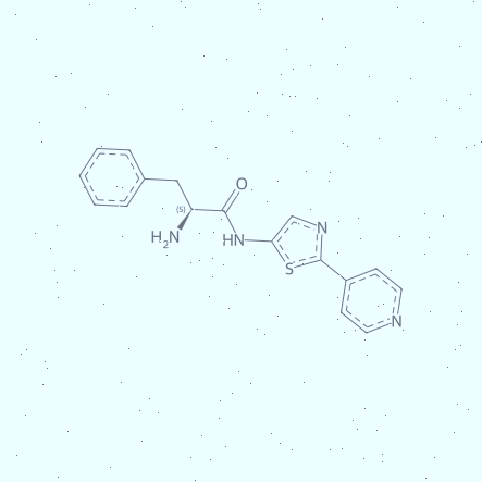 N[C@@H](Cc1ccccc1)C(=O)Nc1cnc(-c2ccncc2)s1